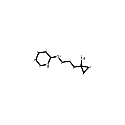 SC1(CCCOC2CCCCO2)CC1